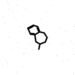 CC1CCCc2ccccc2C1